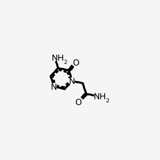 NC(=O)Cn1cncc(N)c1=O